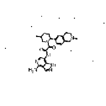 CC1CCC(c2ccc3c(c2)CCN(C)C3)N(C(=O)C(=O)Nc2cnc(N)c3cn[nH]c23)C1